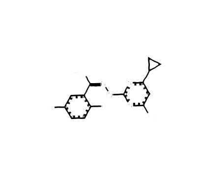 CC(=NNc1nc(C)cc(C2CC2)n1)c1cc(C)ccc1C